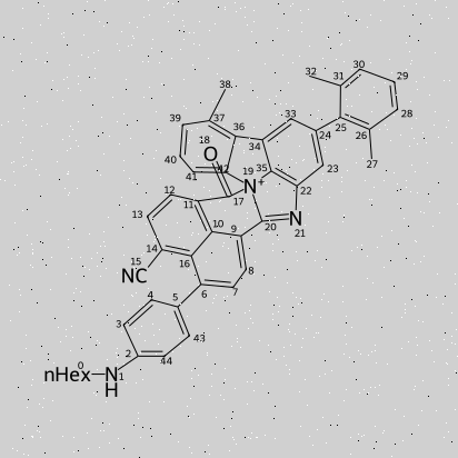 CCCCCCNc1ccc(-c2ccc3c4c(ccc(C#N)c24)C(=O)[N+]24C3=Nc3cc(-c5c(C)cccc5C)cc(c32)-c2c(C)cccc24)cc1